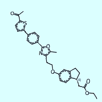 CCOC(=O)C[C@@H]1CCc2cc(OCCc3nc(-c4ccc(-c5ccc(C(C)=O)s5)cc4)oc3C)ccc21